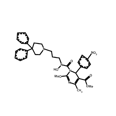 COC(=O)C1=C(C)N=C(OC)N(C(=O)N(O)CCCN2CCC(c3ccccc3)(c3ccccc3)CC2)C1c1ccc([N+](=O)[O-])cc1